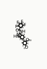 COc1ccc(-c2ccc3c(NC(=O)c4cc(F)c(F)c(F)c4F)n[nH]c3c2)c(OC)c1